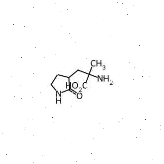 CC(N)(CC1CCNC1=O)C(=O)O